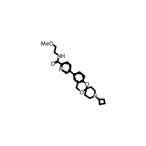 COCCNC(=O)c1ccc(-c2ccc3c(c2)COC2(CCN(C4CCC4)CC2)O3)cn1